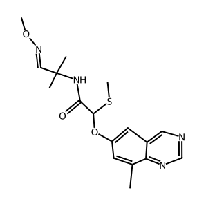 CO/N=C/C(C)(C)NC(=O)C(Oc1cc(C)c2ncncc2c1)SC